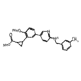 COC(=O)C1CC1c1cc(-c2ccc(NCc3cccc(C)c3)nc2)ccc1OC